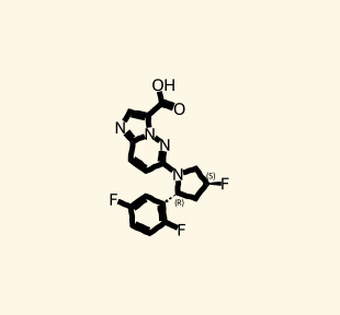 O=C(O)c1cnc2ccc(N3C[C@@H](F)C[C@@H]3c3cc(F)ccc3F)nn12